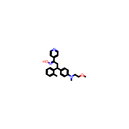 COCCN(C)c1ccc(C(C/C(=N/O)c2ccncc2)c2ccccc2C)cc1